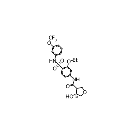 CCOc1cc(NC(=O)C2COC[C@H]2O)ccc1S(=O)(=O)Nc1cccc(OC(F)(F)F)c1